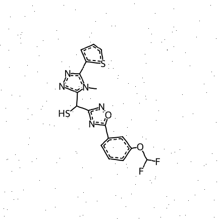 Cn1c(-c2cccs2)nnc1C(S)c1noc(-c2cccc(OC(F)F)c2)n1